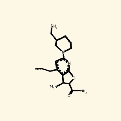 CCCc1cc(N2CCCC(CN)C2)nc2c1C(N)C(C(N)=O)S2